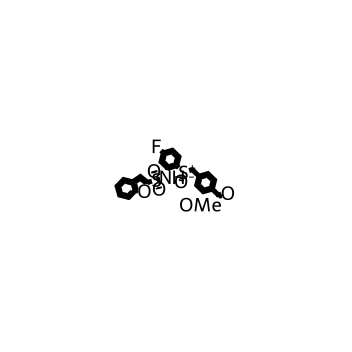 COC(=O)c1ccc(C[S+]([O-])c2ccc(F)cc2NS(=O)(=O)c2cc3ccccc3o2)cc1